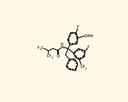 COc1cc(C(Cc2ccccc2)(NC(=O)CC(C(F)(F)F)C(F)(F)F)c2cc(F)cc(C(F)(F)F)c2)ccc1F